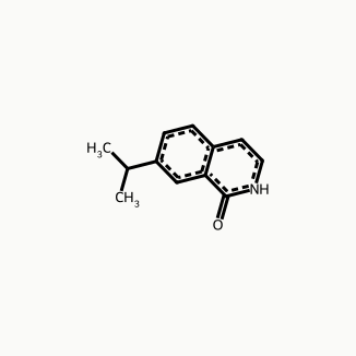 CC(C)c1ccc2cc[nH]c(=O)c2c1